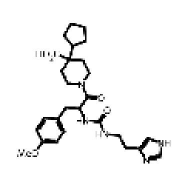 COc1ccc(CC(NC(=O)NCCc2c[nH]cn2)C(=O)N2CCC(C(=O)O)(C3CCCC3)CC2)cc1